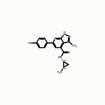 Cc1n[nH]c2nc(-c3ccc(O)cc3)cc(C(=O)N[C@@H]3C[C@H]3N)c12